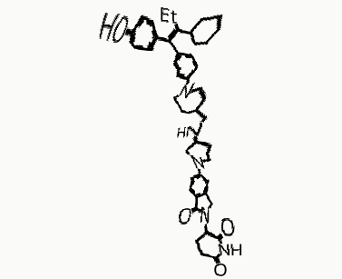 CC/C(=C(\c1ccc(O)cc1)c1ccc(N2CCC(CNC3CCN(c4ccc5c(c4)CN(C4CCC(=O)NC4=O)C5=O)C3)CC2)cc1)C1CCCCC1